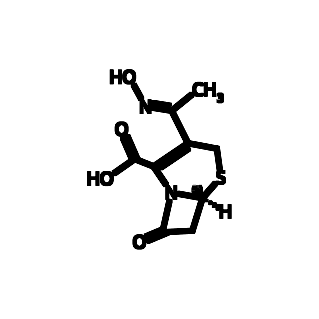 CC(=NO)C1=C(C(=O)O)N2C(=O)C[C@@H]2SC1